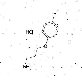 Cl.NCCCOc1ccc(F)cc1